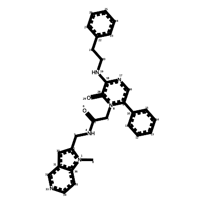 Cn1c(CNC(=O)Cn2c(-c3ccccc3)cnc(NCCc3ccccc3)c2=O)cc2cnccc21